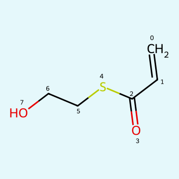 C=CC(=O)SCCO